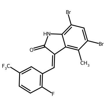 Cc1c(Br)cc(Br)c2c1C(=Cc1cc(C(F)(F)F)ccc1F)C(=O)N2